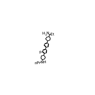 CCCNC1CCC(c2ccc(-c3ccc(C4CCC(C(N)CC)CC4)cc3)cc2F)CC1